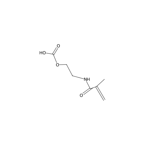 C=C(C)C(=O)NCCOC(=O)O